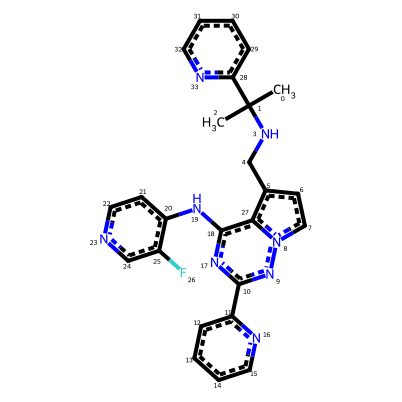 CC(C)(NCc1ccn2nc(-c3ccccn3)nc(Nc3ccncc3F)c12)c1ccccn1